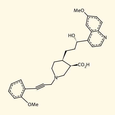 COc1ccc2nccc([C@@H](O)CC[C@@H]3CCN(CC#Cc4ccccc4OC)C[C@@H]3C(=O)O)c2c1